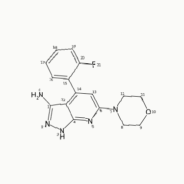 Nc1n[nH]c2nc(N3CCOCC3)cc(-c3ccccc3F)c12